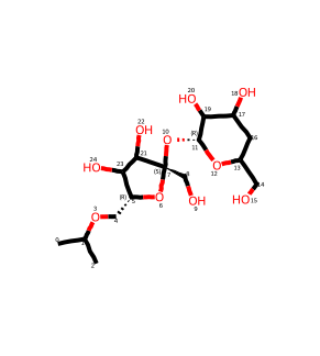 CC(C)OC[C@H]1O[C@@](CO)(O[C@H]2OC(CO)CC(O)C2O)C(O)C1O